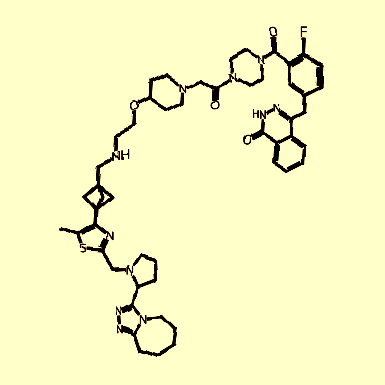 Cc1sc(CN2CCCC2c2nnc3n2CCCCC3)nc1C12CC(CNCCOC3CCN(CC(=O)N4CCN(C(=O)c5cc(Cc6n[nH]c(=O)c7ccccc67)ccc5F)CC4)CC3)(C1)C2